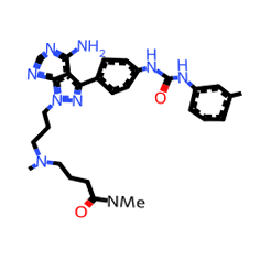 CNC(=O)CCCN(C)CCCn1nc(-c2ccc(NC(=O)Nc3cccc(C)c3)cc2)c2c(N)ncnc21